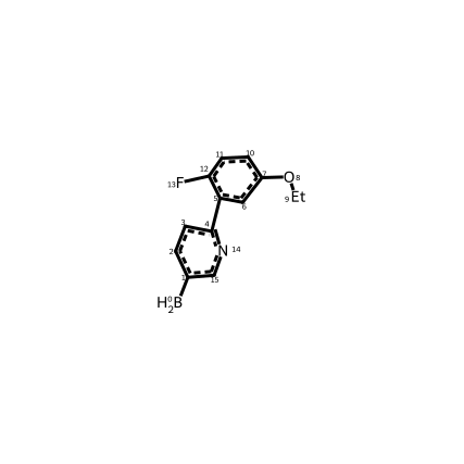 Bc1ccc(-c2cc(OCC)ccc2F)nc1